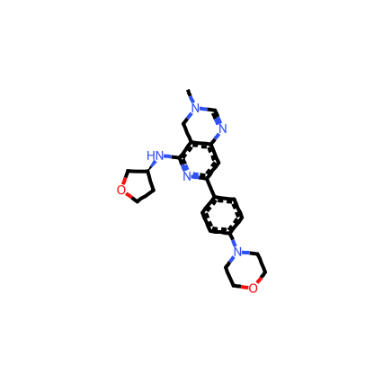 CN1C=Nc2cc(-c3ccc(N4CCOCC4)cc3)nc(N[C@H]3CCOC3)c2C1